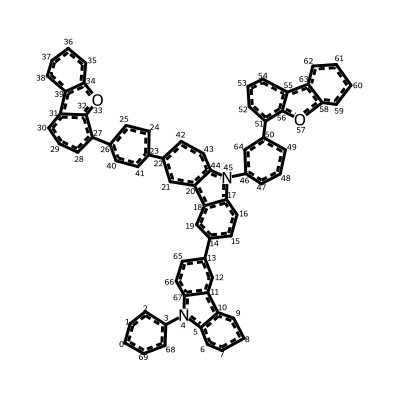 c1ccc(-n2c3ccccc3c3cc(-c4ccc5c(c4)c4cc(-c6ccc(-c7cccc8c7oc7ccccc78)cc6)ccc4n5-c4cccc(-c5cccc6c5oc5ccccc56)c4)ccc32)cc1